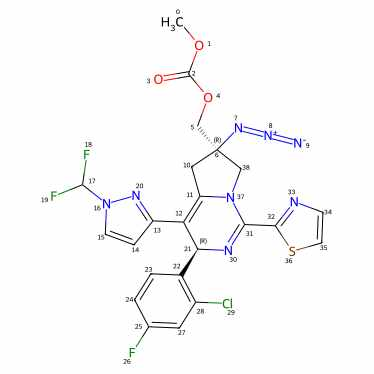 COC(=O)OC[C@@]1(N=[N+]=[N-])CC2=C(c3ccn(C(F)F)n3)[C@H](c3ccc(F)cc3Cl)N=C(c3nccs3)N2C1